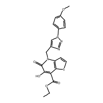 CCOC(=O)c1c(O)c(=O)n(Cc2cn(-c3ccc(OC)cc3)nn2)c2ccsc12